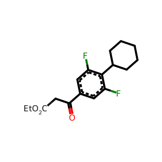 CCOC(=O)CC(=O)c1cc(F)c(C2CCCCC2)c(F)c1